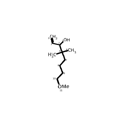 C=CC(O)C(C)(C)CCCCOC